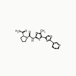 Cc1nc(NC(=O)N2CCC[C@H]2C(N)=O)sc1-c1csc(-c2cccnc2)n1